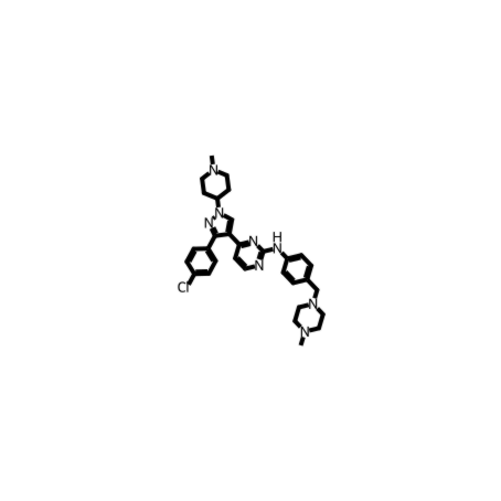 CN1CCC(n2cc(-c3ccnc(Nc4ccc(CN5CCN(C)CC5)cc4)n3)c(-c3ccc(Cl)cc3)n2)CC1